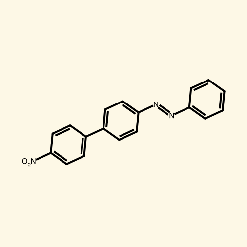 O=[N+]([O-])c1ccc(-c2ccc(N=Nc3ccccc3)cc2)cc1